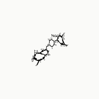 Cc1cc2ncc(CN3CCN(c4cc(F)c(F)cc4C#N)CC3)cc2[nH]c1=O